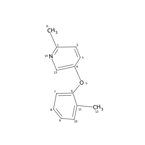 Cc1ccc(Oc2ccccc2C)cn1